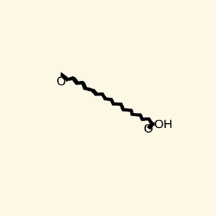 O=C(O)CCCCCCCCCCCC=CC=CC=CC1=CO1